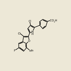 CCCc1cc(F)cc2c(Cl)c(-c3cc(Cl)c(-c4ccc(C(=O)O)cc4)[nH]3)oc12